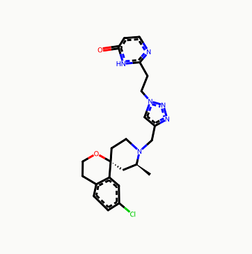 C[C@H]1C[C@@]2(CCN1Cc1cn(CCc3nccc(=O)[nH]3)nn1)OCCc1ccc(Cl)cc12